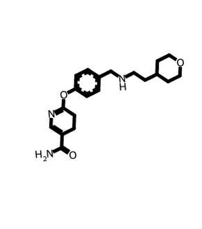 NC(=O)C1=CN=C(Oc2ccc(CNCCC3CCOCC3)cc2)CC1